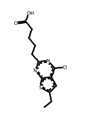 CCc1cc2c(Cl)nc(CCCCC(=O)O)nc2s1